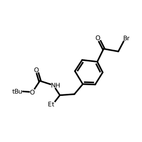 CCC(Cc1ccc(C(=O)CBr)cc1)NC(=O)OC(C)(C)C